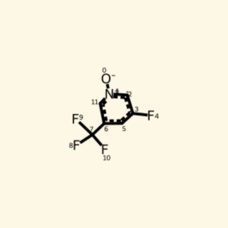 [O-][n+]1[c]c(F)cc(C(F)(F)F)c1